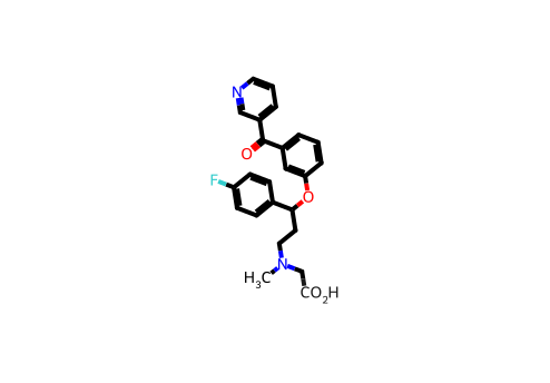 CN(CCC(Oc1cccc(C(=O)c2cccnc2)c1)c1ccc(F)cc1)CC(=O)O